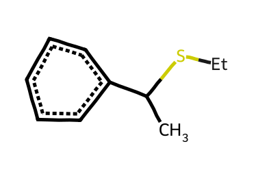 CCSC(C)c1ccccc1